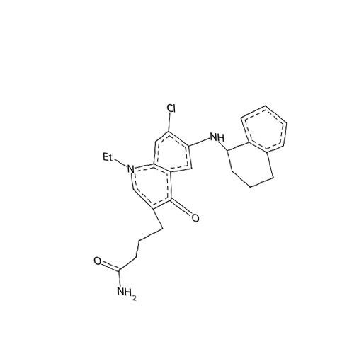 CCn1cc(CCCC(N)=O)c(=O)c2cc(NC3CCCc4ccccc43)c(Cl)cc21